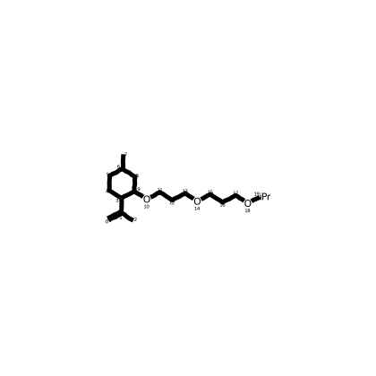 C=C(C)C1CCC(C)CC1OCCCOCCCOC(C)C